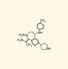 C/C(N)=C1\c2ccc(C3CCNCC3)cc2C(Nc2ccc(C)cc2)CCN1N